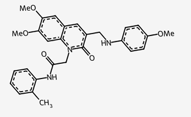 COc1ccc(NCc2cc3cc(OC)c(OC)cc3n(CC(=O)Nc3ccccc3C)c2=O)cc1